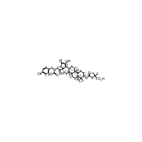 CC(C)C(=O)N(Cc1ccc(Cl)cc1)C[C@H](O)[C@]12CC[C@]3(C)C(CC[C@@H]4[C@@]5(C)CC[C@H](OC(=O)CC(C)(C)C(=O)O)C(C)(C)[C@@H]5CC[C@]43C)C1=C(C(C)C)C(=O)C2